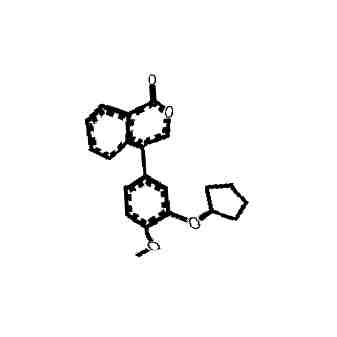 COc1ccc(-c2coc(=O)c3ccccc23)cc1OC1CCCC1